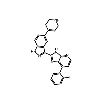 Fc1ccccc1-c1ccnc2[nH]c(-c3n[nH]c4ccc(C5=CCNCC5)cc34)nc12